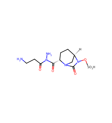 NCCC(=O)N(N)C(=O)[C@@H]1CC[C@@H]2CN1C(=O)N2OS(=O)(=O)O